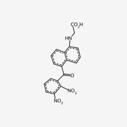 O=C(O)CNc1cccc2c(C(=O)c3cccc([N+](=O)[O-])c3[N+](=O)[O-])cccc12